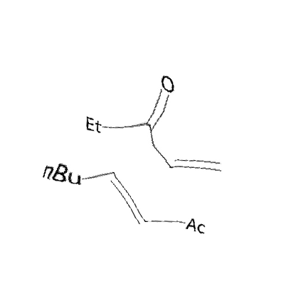 C=CC(=O)CC.CCCCC=CC(C)=O